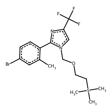 Cc1cc(Br)ccc1-c1nc(C(F)(F)F)cn1COCCS(C)(C)C